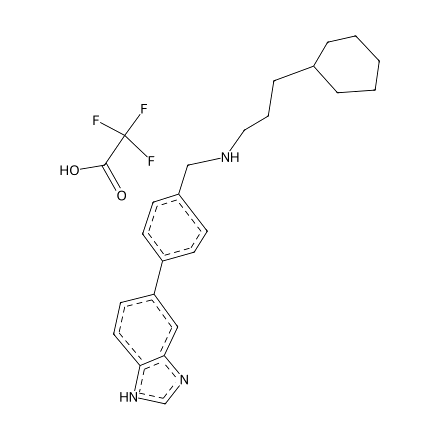 O=C(O)C(F)(F)F.c1nc2cc(-c3ccc(CNCCCC4CCCCC4)cc3)ccc2[nH]1